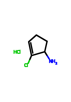 Cl.NC1CCC=C1Cl